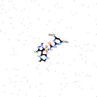 COc1cc(OC)nc(NC(=O)NS(=O)(=O)c2c(C3=NC(C)CN=C3)c(Cl)nn2C)n1